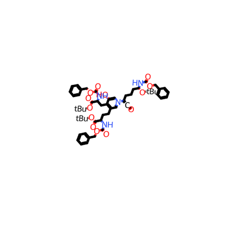 CC(C)(C)OC(=O)C(CCc1c[n+](C(=C=O)CCCC(NC(=O)OCc2ccccc2)OC(C)(C)C)cc(O)c1CC(NC(=O)OCc1ccccc1)C(=O)OC(C)(C)C)NC(=O)OCc1ccccc1